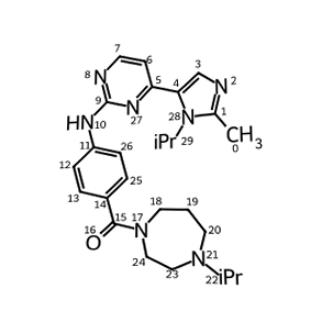 Cc1ncc(-c2ccnc(Nc3ccc(C(=O)N4CCCN(C(C)C)CC4)cc3)n2)n1C(C)C